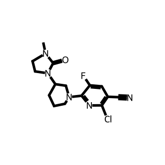 CN1CCN(C2CCCN(c3nc(Cl)c(C#N)cc3F)C2)C1=O